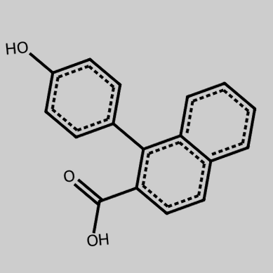 O=C(O)c1ccc2ccccc2c1-c1ccc(O)cc1